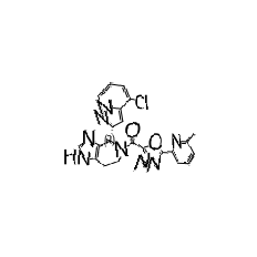 Cc1cccc(-c2nnc(C(=O)N3CCc4[nH]cnc4[C@@H]3c3cc4c(Cl)cccn4n3)o2)n1